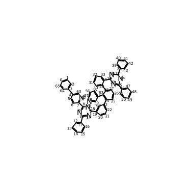 c1ccc(-c2ccc(-c3nc(-c4ccccc4)nc(-c4cccc(-c5cccc(-c6ccccc6-c6nc(-c7ccccc7)nc(-c7ccccc7)n6)c5-c5cccnc5)c4)n3)nc2)cc1